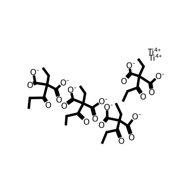 CCC(=O)C(CC)(C(=O)[O-])C(=O)[O-].CCC(=O)C(CC)(C(=O)[O-])C(=O)[O-].CCC(=O)C(CC)(C(=O)[O-])C(=O)[O-].CCC(=O)C(CC)(C(=O)[O-])C(=O)[O-].[Ti+4].[Ti+4]